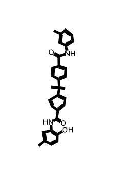 Cc1cccc(NC(=O)c2ccc(C(C)(C)c3ccc(C(=O)Nc4cc(C)ccc4O)cc3)cc2)c1